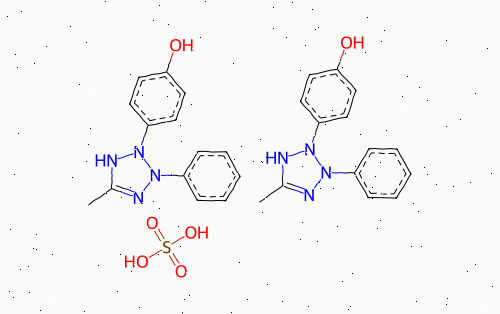 CC1=NN(c2ccccc2)N(c2ccc(O)cc2)N1.CC1=NN(c2ccccc2)N(c2ccc(O)cc2)N1.O=S(=O)(O)O